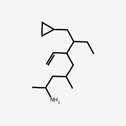 C=CC(CC(C)CC(C)N)C(CC)CC1CC1